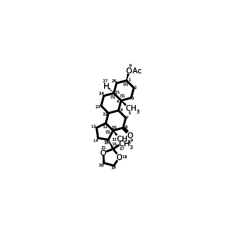 CC(=O)O[C@H]1CC[C@]2(C)C3CC(=O)[C@@]4(C)C(CC[C@@H]4C4(C)OCCO4)C3CC[C@H]2C1